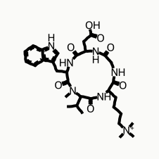 CC(C)C1C(=O)NC(CCCC[N+](C)(C)C)C(=O)NCC(=O)NC(CC(=O)O)C(=O)NC(Cc2c[nH]c3ccccc23)C(=O)N1C